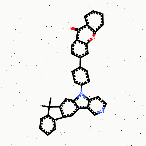 CC1(C)c2ccccc2-c2cc3c4cnccc4n(-c4ccc(-c5ccc6c(=O)c7ccccc7oc6c5)cc4)c3cc21